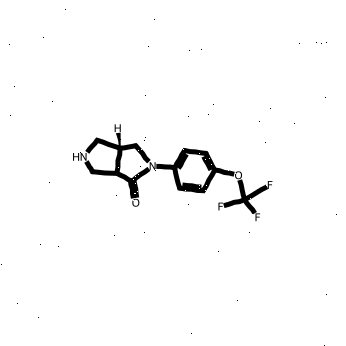 O=C1C2CNC[C@@H]2CN1c1ccc(OC(F)(F)F)cc1